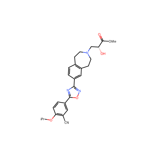 COC(=O)[C@H](O)CN1CCc2ccc(-c3noc(-c4ccc(OC(C)C)c(C#N)c4)n3)cc2CC1